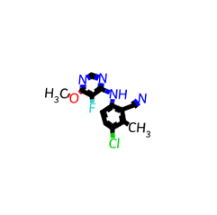 COc1ncnc(Nc2ccc(Cl)c(C)c2C#N)c1F